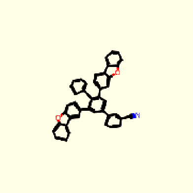 N#Cc1cccc(-c2cc(-c3ccc4c(c3)oc3ccccc34)c(-c3ccccc3)c(-c3ccc4oc5ccccc5c4c3)c2)c1